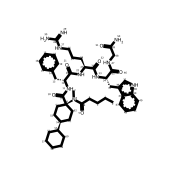 CCCCC(=O)N(C)[C@]1(C(=O)N[C@H](Cc2ccccc2)C(=O)N[C@@H](CCCNC(=N)N)C(=O)N[C@@H](Cc2c[nH]c3ccccc23)C(=O)NCC(N)=O)CC[C@H](C2CCCCC2)CC1